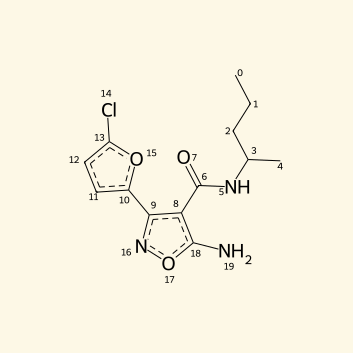 CCCC(C)NC(=O)c1c(-c2ccc(Cl)o2)noc1N